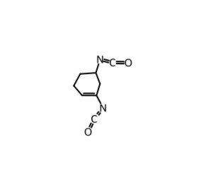 O=C=NC1=CCCC(N=C=O)C1